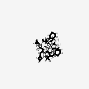 CCC(C)(C)S(=O)(=O)CC1(NC(=O)N[C@H](C(=O)N2CCC(C(C)(C)C)C2C(=O)NC(CC2CCC2)C(=O)C(=O)NC2CC2)C2(C)CCCCC2)CCCCC1